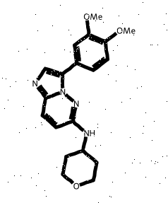 COc1ccc(-c2cnc3ccc(NC4CCOCC4)nn23)cc1OC